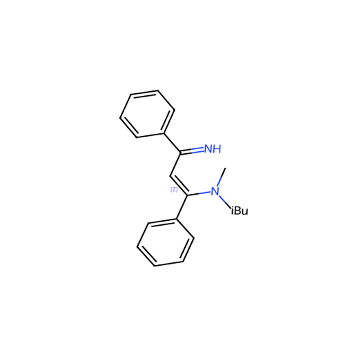 CCC(C)N(C)/C(=C\C(=N)c1ccccc1)c1ccccc1